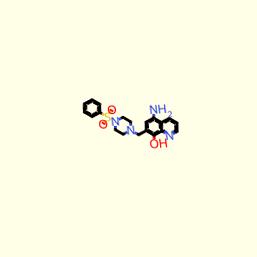 Nc1cc(CN2CCN(S(=O)(=O)c3ccccc3)CC2)c(O)c2ncccc12